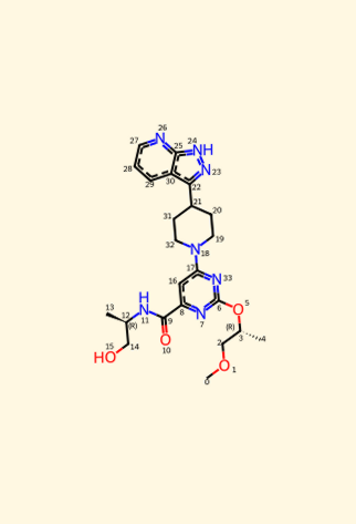 COC[C@@H](C)Oc1nc(C(=O)N[C@H](C)CO)cc(N2CCC(c3n[nH]c4ncccc34)CC2)n1